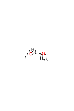 CCCCC(CC)O[SiH2]CCCC[SiH2]OC(CC)CCCC